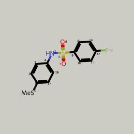 CSc1ccc(NS(=O)(=O)c2ccc(F)cc2)cc1